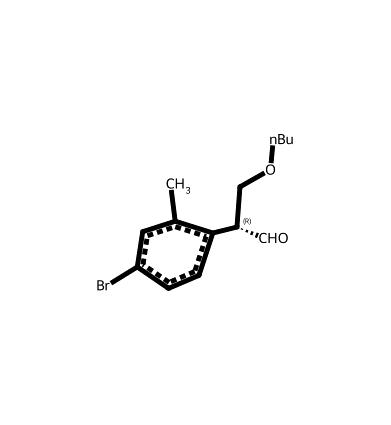 CCCCOC[C@H](C=O)c1ccc(Br)cc1C